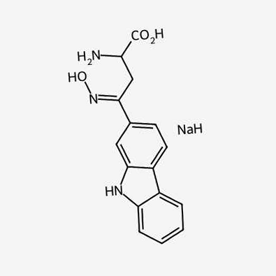 NC(CC(=NO)c1ccc2c(c1)[nH]c1ccccc12)C(=O)O.[NaH]